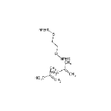 C=C(C)C(=O)O.C=C(C)C(=O)O.CCCCCOCCOCCCCC